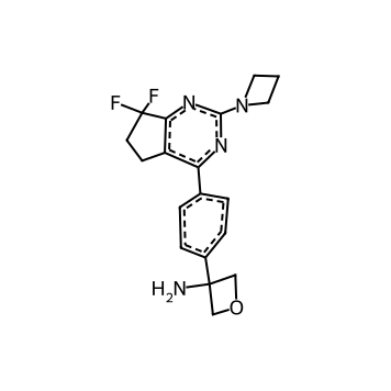 NC1(c2ccc(-c3nc(N4CCC4)nc4c3CCC4(F)F)cc2)COC1